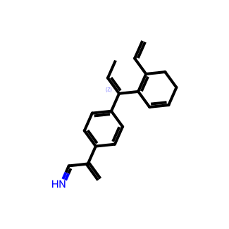 C=CC1=C(/C(=C\C)c2ccc(C(=C)C=N)cc2)C=CCC1